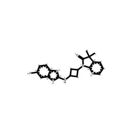 CC1(C)C(=O)N(C2CC(Nc3nc4ccc(F)cc4s3)C2)c2ncccc21